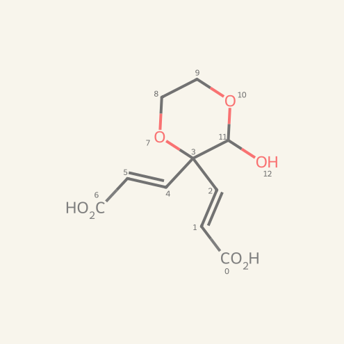 O=C(O)C=CC1(C=CC(=O)O)OCCOC1O